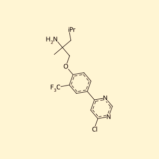 CC(C)CC(C)(N)COc1ccc(-c2cc(Cl)ncn2)cc1C(F)(F)F